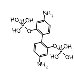 Nc1ccc(-c2ccc(N)cc2O[PH](O)(O)O)c(O[PH](O)(O)O)c1